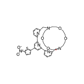 O=[N+]([O-])c1ccc(-c2cc3nc(c2)-c2cccc(n2)CN2CCOCCOCCN(CCOCCOCC2)Cc2cccc-3n2)s1